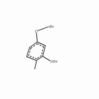 [CH2]c1ccc(OCCCC)cc1SC